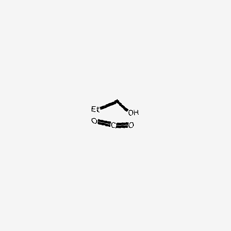 CCCO.O=C=O